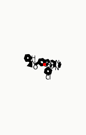 O=C(NC1(c2ccccc2)CC1)c1ccc(CN(Cc2cnccn2)S(=O)(=O)c2ccc(Cl)cc2)cc1